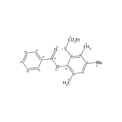 CCOC(=O)Sc1c(C)c(C(C)(C)C)cc(C)c1OC(=O)c1ccccc1